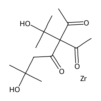 CC(=O)C(C(C)=O)(C(=O)CC(C)(C)O)C(C)(C)O.[Zr]